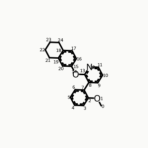 COc1ccccc1-c1cccnc1Oc1ccc2c(c1)CCCC2